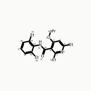 CCCOc1cc(CC)nc(CC)c1C(=O)Nc1c(CC)cccc1CC